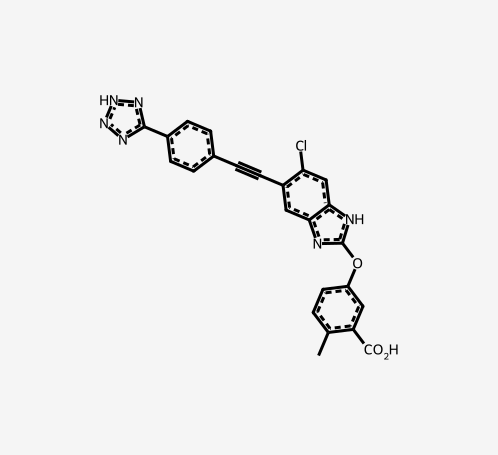 Cc1ccc(Oc2nc3cc(C#Cc4ccc(-c5nn[nH]n5)cc4)c(Cl)cc3[nH]2)cc1C(=O)O